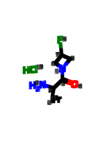 CC(C)C(N)C(=O)N1CC(F)C1.Cl